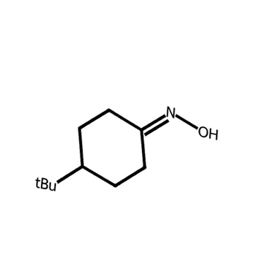 CC(C)(C)C1CCC(=NO)CC1